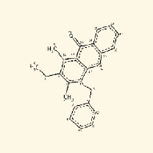 CCc1c(C)c(Cc2ccccc2)c2sc3ccccc3c(=O)c2c1C